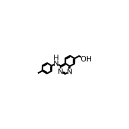 Cc1ccc(Nc2ncnc3cc(CO)ccc23)cc1